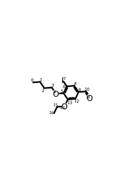 CCCCOc1c(I)cc(C=O)cc1OCC